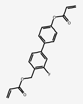 C=CC(=O)OCc1ccc(-c2ccc(OC(=O)C=C)cc2)cc1F